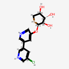 O[C@@H]1[C@@H](O)[C@@H](Oc2cncc(-c3cncc(Cl)c3)c2)SC[C@H]1O